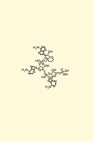 Nc1ncnc2c1ncn2[C@@H]1O[C@@]2(COP(=O)(O)OC3C(O)[C@@H](COP(=O)(S)OC4C(O)[C@@H](COP(=O)(O)S)O[C@H]4n4cnc5c(N)ncnc54)O[C@H]3n3cnc4c(N)ncnc43)CCCOC2C1O